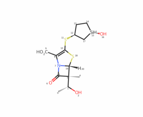 C[C@@H](O)[C@@]1(C)C(=O)N2C(C(=O)O)=C(S[C@H]3CC[Si@@H](O)C3)S[C@@H]21